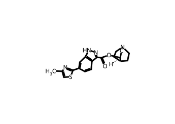 Cc1csc(-c2ccc3c(C(=O)O[C@H]4CN5CCC4CC5)n[nH]c3c2)n1